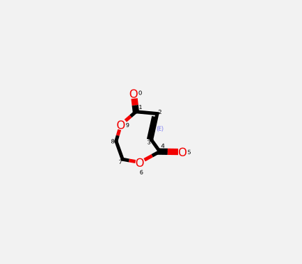 O=C1/C=C/C(=O)OCCO1